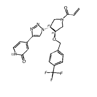 C=CC(=O)N1C[C@@H](n2cc(-c3cc[nH]c(=O)c3)nn2)[C@H](OCc2ccc(C(F)(F)F)cc2)C1